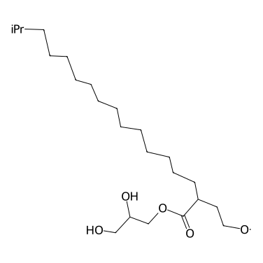 CC(C)CCCCCCCCCCCCCC(CC[O])C(=O)OCC(O)CO